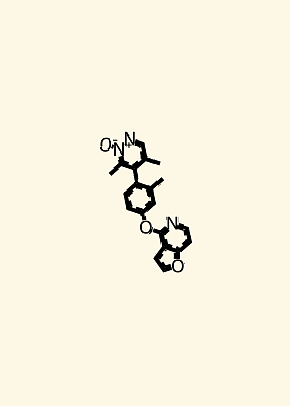 Cc1cc(Oc2nccc3occc23)ccc1-c1c(C)cn[n+]([O-])c1C